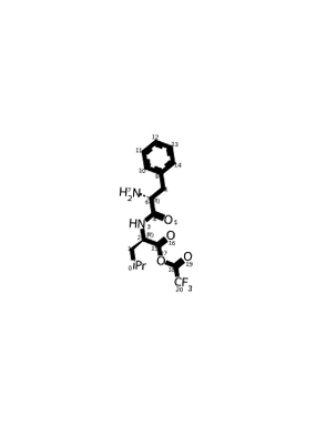 CC(C)C[C@@H](NC(=O)[C@H](N)Cc1ccccc1)C(=O)OC(=O)C(F)(F)F